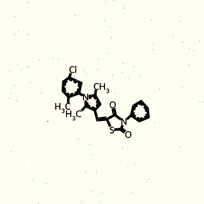 Cc1ccc(Cl)cc1-n1c(C)cc(C=C2SC(=O)N(c3ccccc3)C2=O)c1C